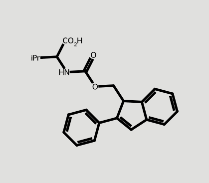 CC(C)C(NC(=O)OCC1C(c2ccccc2)=Cc2ccccc21)C(=O)O